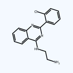 NCCNc1nc(-c2ccccc2Cl)nc2ccccc12